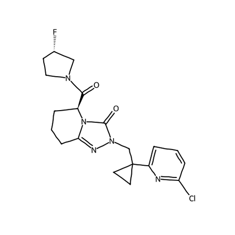 O=C([C@@H]1CCCc2nn(CC3(c4cccc(Cl)n4)CC3)c(=O)n21)N1CC[C@H](F)C1